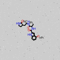 CCCOc1cccc2[nH]c(C(=O)NC(CC(C)C)C(=O)NC(C#N)CC3CCNC3=O)cc12